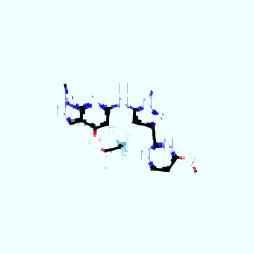 COc1ccnc(-c2cc(Nc3cc(O[C@@H](C)C(F)(F)F)c4cnn(C)c4n3)n(C)n2)n1